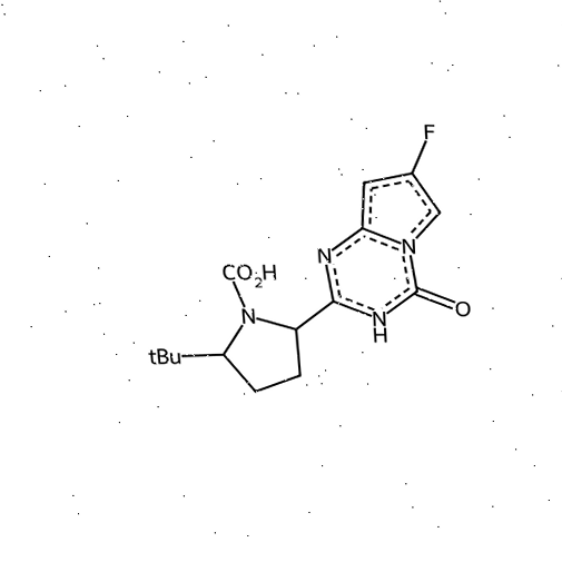 CC(C)(C)C1CCC(c2nc3cc(F)cn3c(=O)[nH]2)N1C(=O)O